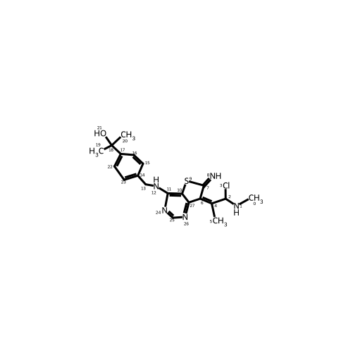 CNC(Cl)/C(C)=C1\C(=N)Sc2c(NCc3ccc(C(C)(C)O)cc3)ncnc21